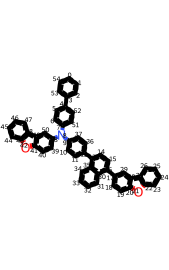 c1ccc(-c2ccc(N(c3ccc(-c4ccc(-c5ccc6oc7ccccc7c6c5)c5ccccc45)cc3)c3ccc4oc5ccccc5c4c3)cc2)cc1